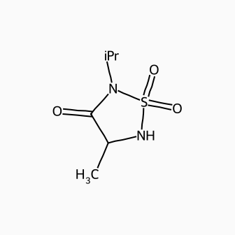 CC1NS(=O)(=O)N(C(C)C)C1=O